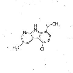 COc1ccc(Cl)c2c1[nH]c1ncc(C)cc12